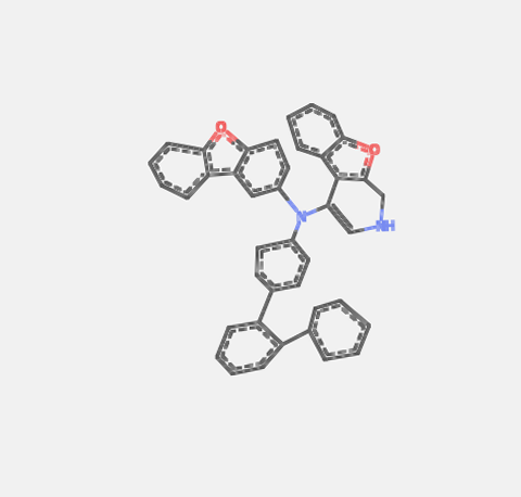 C1=C(N(c2ccc(-c3ccccc3-c3ccccc3)cc2)c2ccc3oc4ccccc4c3c2)c2c(oc3ccccc23)CN1